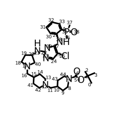 CC(C)(C)OC(=O)N1CCC(CN2CCC(CN3CC[C@@H](Nc4ncc(Cl)c(Nc5ccccc5P(C)(C)=O)n4)C3)CC2)CC1